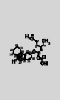 CCCCC(CC)CC(OC(=O)O)Oc1ccc2c(c1)[C@@]13CCCC[C@H]1[C@@H](C2)NCC3